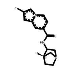 O=C(NC1CN2CC[C@H]1C2)c1ccn2cc(Cl)cc2c1